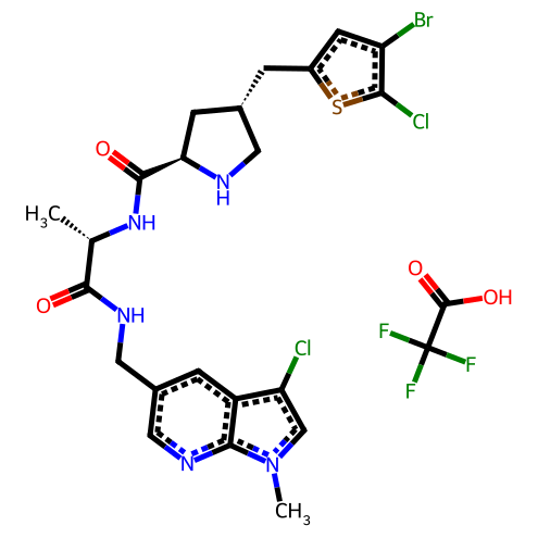 C[C@H](NC(=O)[C@H]1C[C@H](Cc2cc(Br)c(Cl)s2)CN1)C(=O)NCc1cnc2c(c1)c(Cl)cn2C.O=C(O)C(F)(F)F